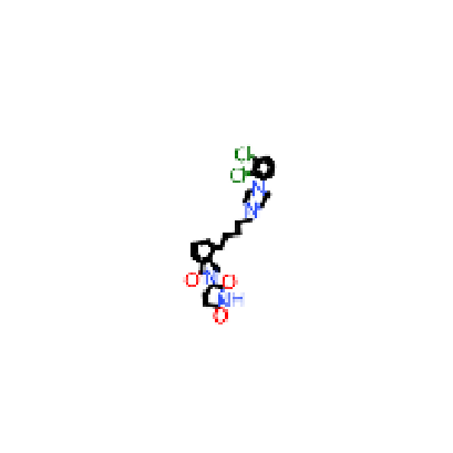 O=C1CCC(N2Cc3c(CCCCCN4CCN(c5cccc(Cl)c5Cl)CC4)cccc3C2=O)C(=O)N1